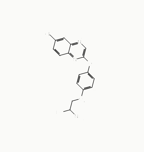 CC(N)COc1ccc(Oc2cnc3cc(Cl)ccc3n2)cc1